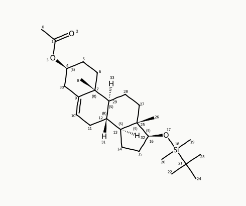 CC(=O)O[C@H]1CC[C@@]2(C)C(=CC[C@H]3[C@@H]4CC[C@H](O[Si](C)(C)C(C)(C)C)[C@@]4(C)CC[C@@H]32)C1